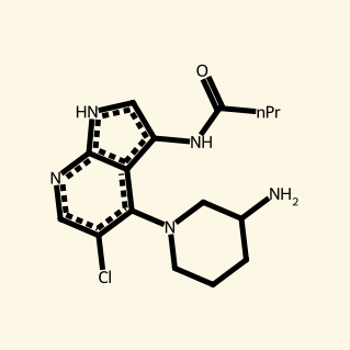 CCCC(=O)Nc1c[nH]c2ncc(Cl)c(N3CCCC(N)C3)c12